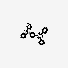 c1ccc(-c2nc(-c3ccccc3)nc(-c3ccc(-n4c(-c5cccnc5)nc5ccccc54)cc3)n2)cc1